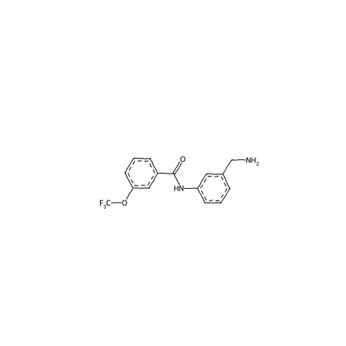 NCc1cccc(NC(=O)c2cccc(OC(F)(F)F)c2)c1